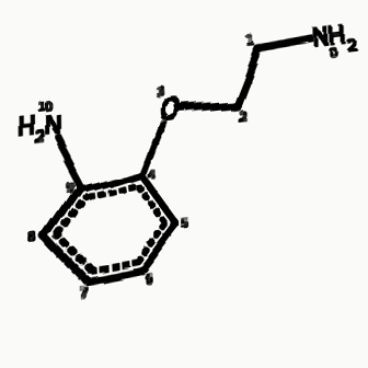 NCCOc1ccccc1N